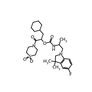 CC(CN1CC(C)(C)c2cc(F)ccc21)NC(=O)OC(CC1CCCCC1)C(=O)N1CCS(=O)(=O)CC1